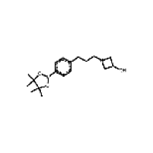 CC1(C)OB(c2ccc(CCCN3CC(O)C3)cc2)OC1(C)C